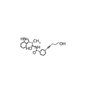 CC(c1c[nH]c2ccccc12)[C@@H](O)NC(=O)c1cccc(C#CCCCO)c1